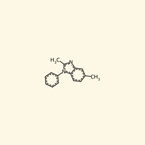 Cc1ccc2c(c1)nc(C)n2-c1ccccc1